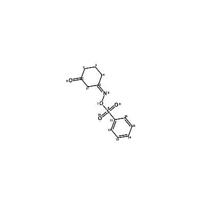 O=C1CCCC(=NOS(=O)(=O)c2ccccc2)C1